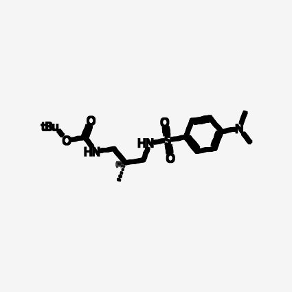 C[C@H](CNC(=O)OC(C)(C)C)CNS(=O)(=O)c1ccc(N(C)C)cc1